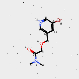 CN(C)C(=O)COCc1cncc(Br)c1